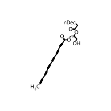 CC#CC#CC#CC#CC#CC#CC(=O)OC[C@@H](CO)OC(=O)CCCCCCCCCCC